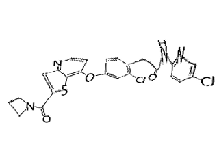 O=C(Cc1ccc(Oc2ccnc3cc(C(=O)N4CCC4)sc23)cc1Cl)Nc1ccc(Cl)cn1